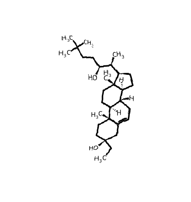 CC[C@]1(O)CC[C@@]2(C)C(=CC[C@H]3[C@@H]4CC[C@H]([C@H](C)[C@@H](O)CCC(C)(C)C)[C@@]4(C)CC[C@@H]32)C1